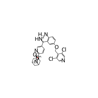 C[S+]([O-])N1C2CC1CN(c1ccc(C(=N)c3cc(OCc4c(Cl)cncc4Cl)ccc3N)cn1)C2